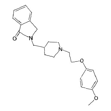 COc1ccc(OCCN2CCC(CN3Cc4ccccc4C3=O)CC2)cc1